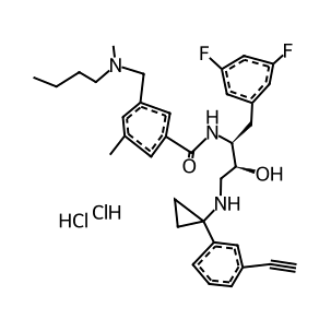 C#Cc1cccc(C2(NC[C@H](O)[C@H](Cc3cc(F)cc(F)c3)NC(=O)c3cc(C)cc(CN(C)CCCC)c3)CC2)c1.Cl.Cl